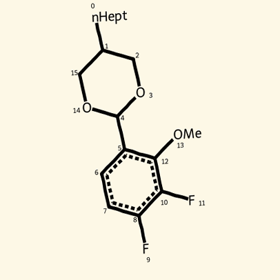 CCCCCCCC1COC(c2ccc(F)c(F)c2OC)OC1